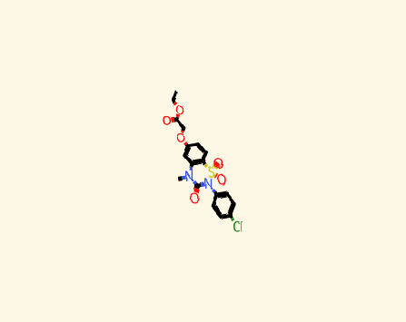 CCOC(=O)COc1ccc2c(c1)N(C)C(=O)N(c1ccc(Cl)cc1)S2(=O)=O